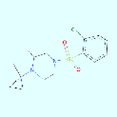 CC1CN(S(=O)(=O)c2ccccc2Cl)CCN1C1(C)CC1